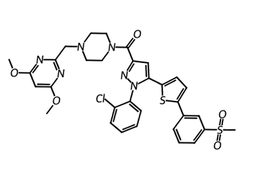 COc1cc(OC)nc(CN2CCN(C(=O)c3cc(-c4ccc(-c5cccc(S(C)(=O)=O)c5)s4)n(-c4ccccc4Cl)n3)CC2)n1